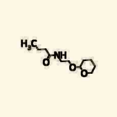 CCCC(=O)NCCOC1CCCCO1